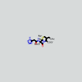 CO[C@@]1(NC(=O)Cc2nnn[nH]2)C(=O)N2C(C(=O)[O-])=C(COC(C)=O)CS[C@@H]21.[Na+]